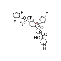 O=C(N1CC[C@](c2ccc(C(OCc3c(F)cccc3F)(C(F)(F)F)C(F)(F)F)cc2)(S(=O)(=O)c2ccc(F)cc2)C1)C1(O)CCNCC1